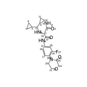 NC(=O)[C@H](NC(C1CC1)C1CC1)C(=O)Nc1ccc(N2CCOCC2=O)c(F)c1